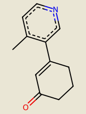 Cc1ccncc1C1=CC(=O)CCC1